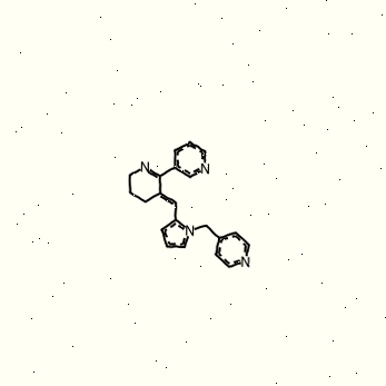 C(=C1CCCN=C1c1cccnc1)c1cccn1Cc1ccncc1